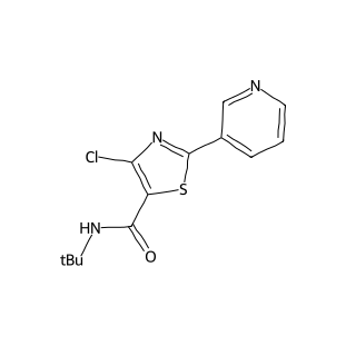 CC(C)(C)NC(=O)c1sc(-c2cccnc2)nc1Cl